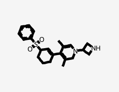 CC1=CN(C2CNC2)CC(C)=C1C1=CC(S(=O)(=O)c2ccccc2)CCC1